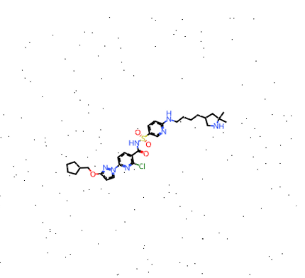 CC1(C)CC(CCCCNc2ccc(S(=O)(=O)NC(=O)c3ccc(-n4ccc(OCC5CCCC5)n4)nc3Cl)cn2)CN1